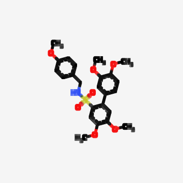 COc1ccc(CNS(=O)(=O)c2cc(OC)c(OC)cc2-c2ccc(OC)c(OC)c2)cc1